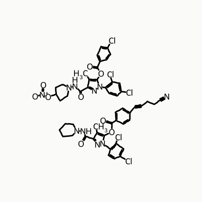 Cc1c(C(=O)NN2CCC(O[N+](=O)[O-])CC2)nn(-c2ccc(Cl)cc2Cl)c1OC(=O)c1ccc(Cl)cc1.Cc1c(C(=O)NN2CCCCC2)nn(-c2ccc(Cl)cc2Cl)c1OC(=O)c1ccc(C#CCCC#N)cc1